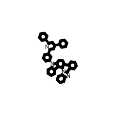 c1ccc(-c2cc(-c3ccccc3)nc(-c3cccc(-n4c5ccccc5c5c4ccc4c6ccccc6c6nc7ccccc7n6c45)c3)c2)cc1